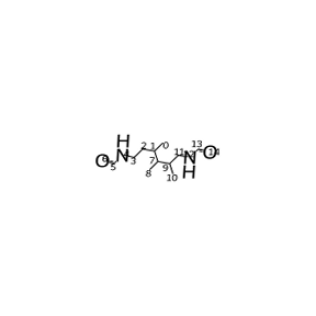 CC(CCNC=O)C(C)C(C)CNC=O